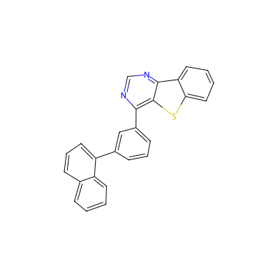 c1cc(-c2cccc3ccccc23)cc(-c2ncnc3c2sc2ccccc23)c1